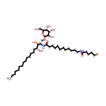 CCCCCCCCCCCCCC[C@@H](O)[C@@H](O)[C@H](CO[C@H]1OC(CO)[C@H](O)[C@H](O)C1O)NC(=O)CCCCCCCCCCCNC(=O)CCCCBr